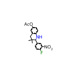 CC(=O)Oc1ccc2c(c1)CC(C)(C)C(c1ccc(F)c([N+](=O)[O-])c1)N2